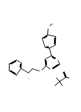 CCCOc1ccc(-c2cc(NC[C@H](O)c3ccccc3)ncn2)cc1.O=C(O)C(F)(F)F